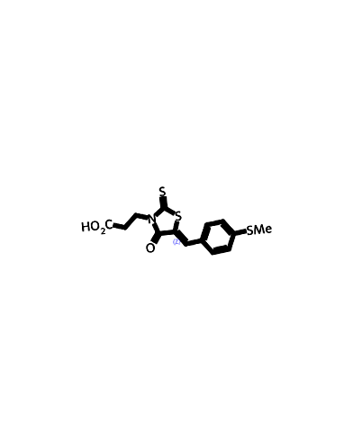 CSc1ccc(/C=C2\SC(=S)N(CCC(=O)O)C2=O)cc1